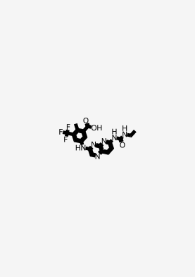 CCNC(=O)Nc1ccc2ncc(Nc3cc(C(=O)O)c(C)c(C(F)(F)F)c3)nc2n1